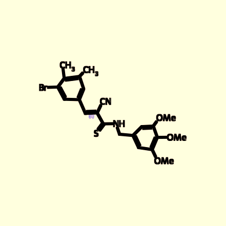 COc1cc(CNC(=S)/C(C#N)=C/c2cc(C)c(C)c(Br)c2)cc(OC)c1OC